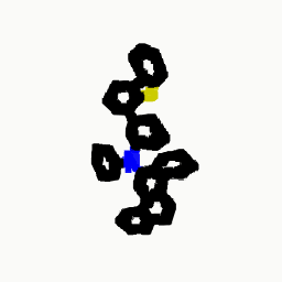 c1ccc(N(c2cccc(-c3cccc4c3sc3ccccc34)c2)c2cc3c4ccccc4ccc3c3ccccc23)cc1